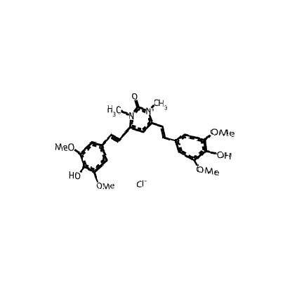 COc1cc(C=Cc2cc(C=Cc3cc(OC)c(O)c(OC)c3)[n+](C)c(=O)n2C)cc(OC)c1O.[Cl-]